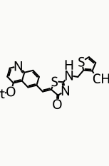 CCOc1ccnc2ccc(/C=C3\SC(NCc4sccc4C)=NC3=O)cc12